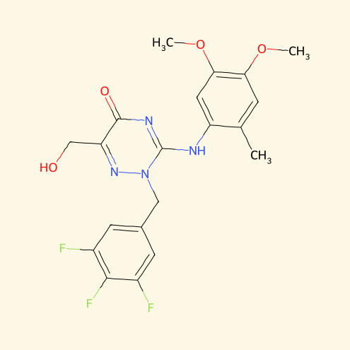 COc1cc(C)c(Nc2nc(=O)c(CO)nn2Cc2cc(F)c(F)c(F)c2)cc1OC